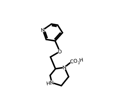 O=C(O)N1CCNCC1COc1cccnc1